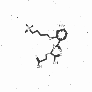 Br.C[N+](C)(C)CCCCOc1ccccc1C(=O)N[C@@H](CCC(=O)O)C(=O)O